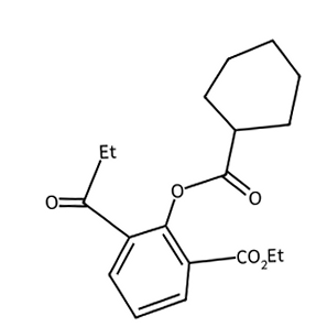 CCOC(=O)c1cccc(C(=O)CC)c1OC(=O)C1CCCCC1